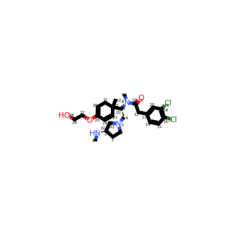 CN[C@H]1CCN(C[C@@H](N(C)C(=O)Cc2ccc(Cl)c(Cl)c2)C2(C)C=CC(OCCO)=CC2)C1